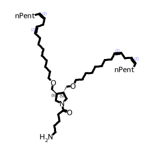 CCCCC/C=C\C/C=C\CCCCCCCCOC[C@@H]1CN(C(=O)CCCCN)C[C@H]1COCCCCCCCC/C=C\C/C=C\CCCCC